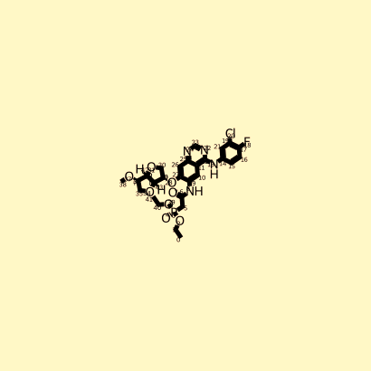 CCOP(=O)(CC(=O)Nc1cc2c(Nc3ccc(F)c(Cl)c3)ncnc2cc1O[C@H]1CO[C@@H]2[C@H]1OC[C@H]2OC)OCC